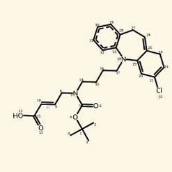 CC(C)(C)OC(=O)N(C/C=C/C(=O)O)CCCCN1C2=CC(Cl)=CCC2=CCc2ccccc21